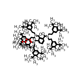 CC(C)(C)c1cc(CCN(CCc2cc(C(C)(C)C)c(O)c(C(C)(C)C)c2)C(=O)c2cccc(C(=O)N(CCc3cc(C(C)(C)C)c(O)c(C(C)(C)C)c3)CCc3cc(C(C)(C)C)c(O)c(C(C)(C)C)c3)c2C(=O)N(CCc2cc(C(C)(C)C)c(O)c(C(C)(C)C)c2)CCc2cc(C(C)(C)C)c(O)c(C(C)(C)C)c2)cc(C(C)(C)C)c1O